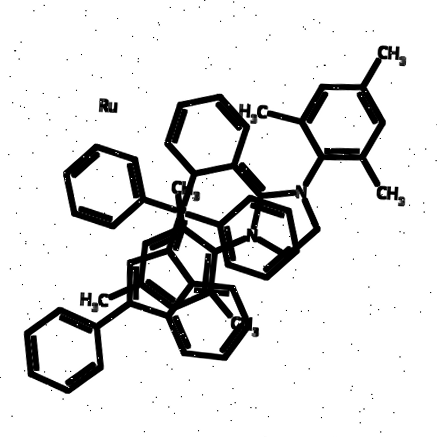 Cc1cc(C)c(N2CCN(c3c(C)cc(C)cc3C)C2=C2C=CC=CC2P(=C2C=C(c3ccccc3)c3ccccc32)(c2ccccc2)c2ccccc2)c(C)c1.[Ru]